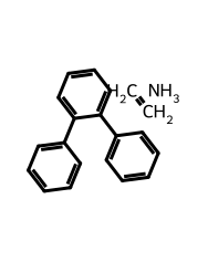 C=C.N.c1ccc(-c2ccccc2-c2ccccc2)cc1